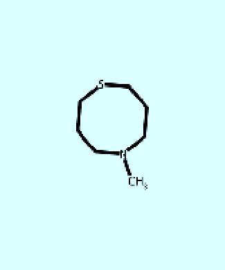 CN1CCCSCCC1